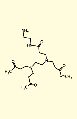 COC(=O)CCN(CCC(=O)NCCN)CCN(CCC(C)=O)CCC(C)=O